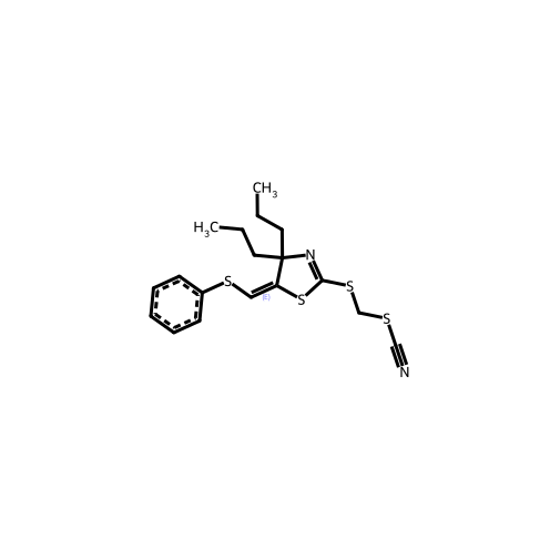 CCCC1(CCC)N=C(SCSC#N)S/C1=C/Sc1ccccc1